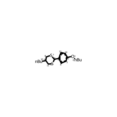 CCCCOc1ccc(C2SCC(CCCC)CS2)cc1